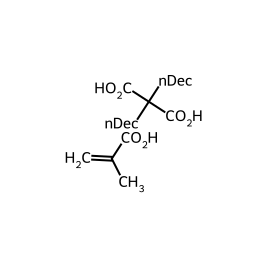 C=C(C)C(=O)O.CCCCCCCCCCC(CCCCCCCCCC)(C(=O)O)C(=O)O